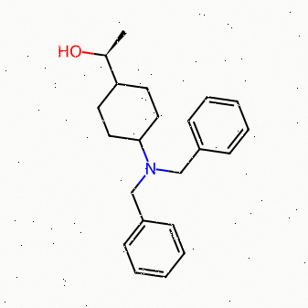 C[C@H](O)C1CCC(N(Cc2ccccc2)Cc2ccccc2)CC1